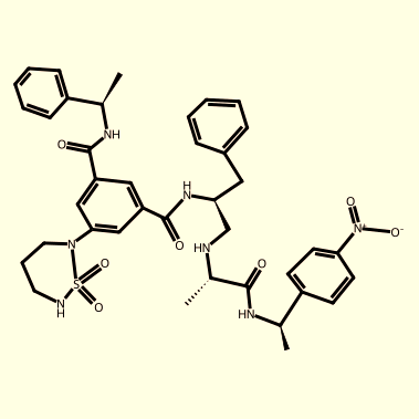 C[C@H](NC[C@H](Cc1ccccc1)NC(=O)c1cc(C(=O)N[C@H](C)c2ccccc2)cc(N2CCCNS2(=O)=O)c1)C(=O)N[C@H](C)c1ccc([N+](=O)[O-])cc1